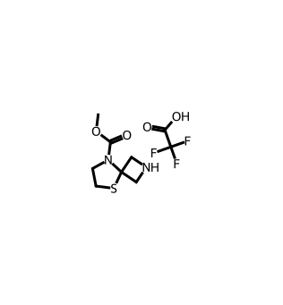 COC(=O)N1CCSC12CNC2.O=C(O)C(F)(F)F